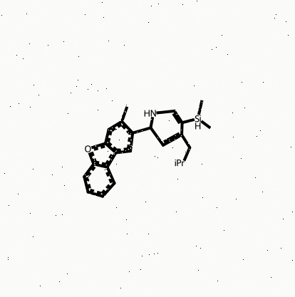 Cc1cc2oc3ccccc3c2cc1C1C=C(CC(C)C)C([SiH](C)C)=CN1